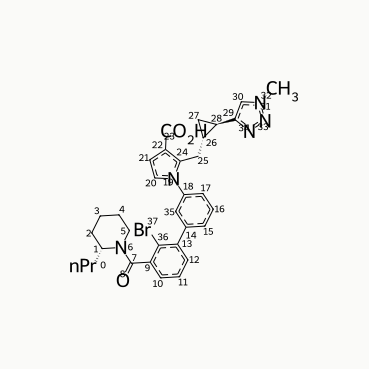 CCC[C@@H]1CCCCN1C(=O)c1cccc(-c2cccc(-n3ccc(C(=O)O)c3C[C@@H]3C[C@H]3c3cn(C)nn3)c2)c1Br